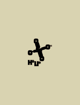 O=[Se](=O)([O-])[O-].[H+].[Li+]